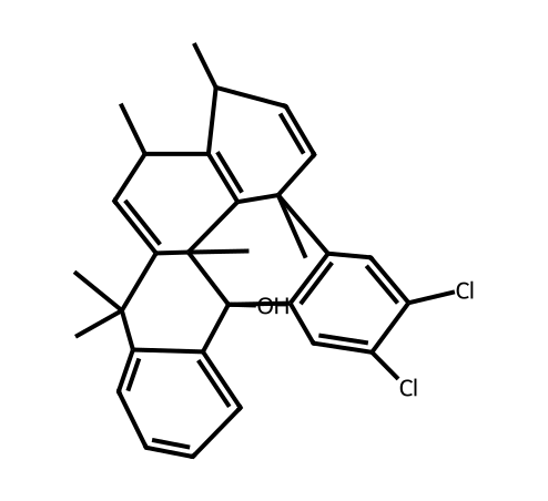 CC1C=CC2(C)C3=C1C(C)C=C1C(C)(C)c4ccccc4C(O)(c4cc(Cl)c(Cl)cc42)C13C